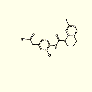 CC(C)C(=O)Cc1ccc(NC(=O)N2CCCc3ccc(F)cc32)c(Cl)c1